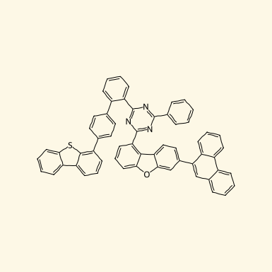 c1ccc(-c2nc(-c3ccccc3-c3ccc(-c4cccc5c4sc4ccccc45)cc3)nc(-c3cccc4oc5cc(-c6cc7ccccc7c7ccccc67)ccc5c34)n2)cc1